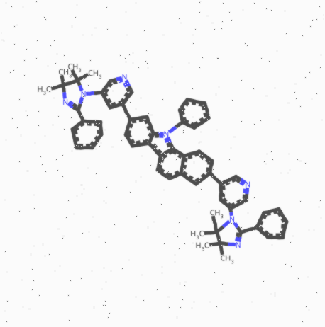 CC1(C)N=C(c2ccccc2)N(c2cncc(-c3ccc4c(ccc5c6ccc(-c7cncc(N8C(c9ccccc9)=NC(C)(C)C8(C)C)c7)cc6n(-c6ccccc6)c45)c3)c2)C1(C)C